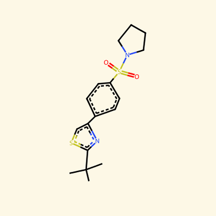 CC(C)(C)c1nc(-c2ccc(S(=O)(=O)N3CCCC3)cc2)cs1